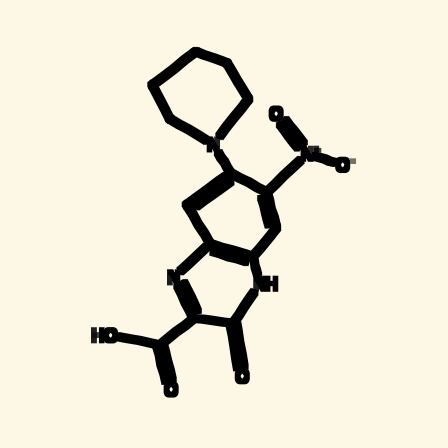 O=C(O)c1nc2cc(N3CCCCC3)c([N+](=O)[O-])cc2[nH]c1=O